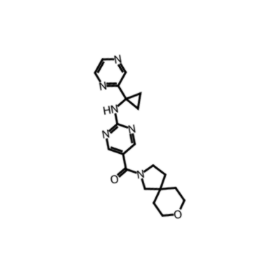 O=C(c1cnc(NC2(c3cnccn3)CC2)nc1)N1CCC2(CCOCC2)C1